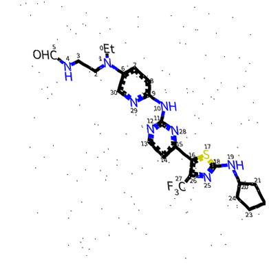 CCN(CCNC=O)c1ccc(Nc2nccc(-c3sc(NC4CCCC4)nc3C(F)(F)F)n2)nc1